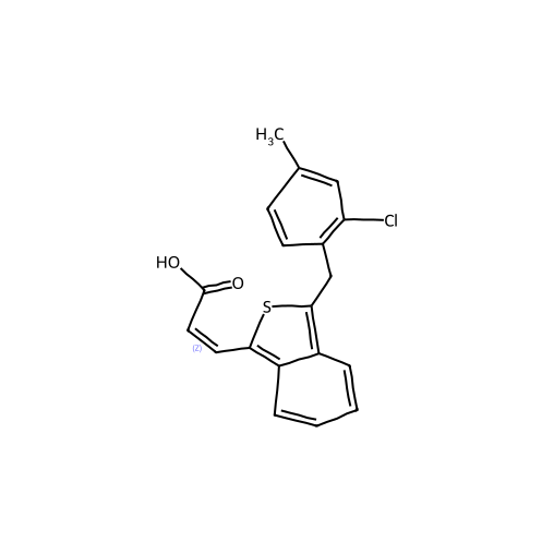 Cc1ccc(Cc2sc(/C=C\C(=O)O)c3ccccc23)c(Cl)c1